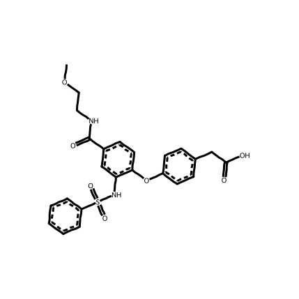 COCCNC(=O)c1ccc(Oc2ccc(CC(=O)O)cc2)c(NS(=O)(=O)c2ccccc2)c1